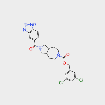 O=C(OCc1cc(Cl)cc(Cl)c1)N1CCC2CN(C(=O)c3ccc4[nH]nnc4c3)CC2CC1